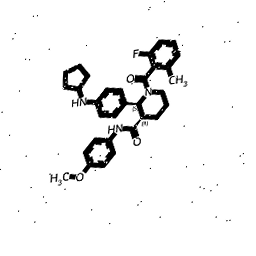 COc1ccc(NC(=O)[C@@H]2CCCN(C(=O)c3c(C)cccc3F)[C@@H]2c2ccc(NC3CCCC3)cc2)cc1